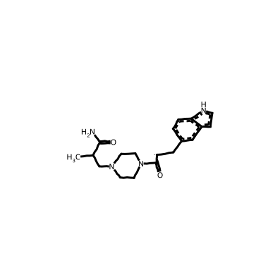 CC(CN1CCN(C(=O)[CH]Cc2ccc3[nH]ccc3c2)CC1)C(N)=O